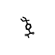 CCC(C)(CC)c1ccc(C(=O)NC)cc1